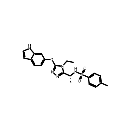 CCn1c(Oc2ccc3cc[nH]c3c2)nnc1[C@@H](C)NS(=O)(=O)c1ccc(C)cc1